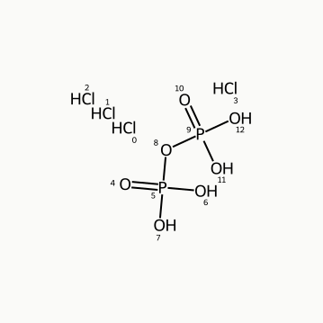 Cl.Cl.Cl.Cl.O=P(O)(O)OP(=O)(O)O